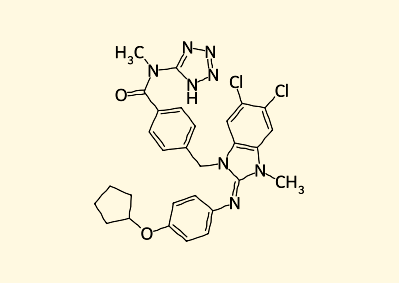 CN(C(=O)c1ccc(Cn2c(=Nc3ccc(OC4CCCC4)cc3)n(C)c3cc(Cl)c(Cl)cc32)cc1)c1nnn[nH]1